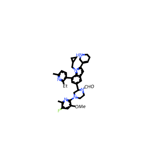 CCc1nc(C)ccc1-c1cc(C2CN(c3nc(C)c(F)cc3OC)CCN2C=O)cc2cc(C3=CCCNC3)n(CC3CC3)c12